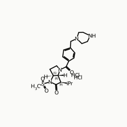 CC(C)[C@H]1C(=O)N(S(C)(=O)=O)[C@H]2CCN(C(=O)c3ccc(CN4CCNCC4)cc3)[C@H]12.Cl.Cl